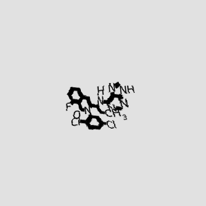 CCC(Nc1ncnc2[nH]cnc12)c1cc2cccc(F)c2c(=O)n1-c1cc(Cl)ccc1Cl